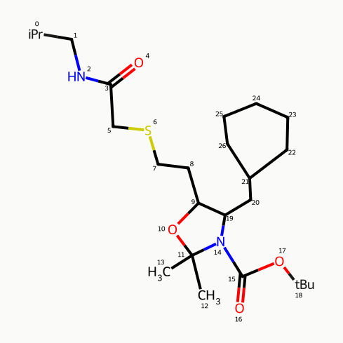 CC(C)CNC(=O)CSCCC1OC(C)(C)N(C(=O)OC(C)(C)C)C1CC1CCCCC1